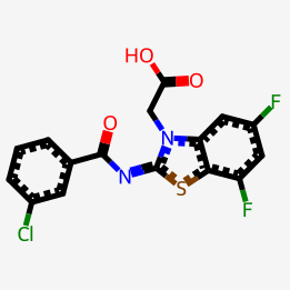 O=C(O)Cn1c(=NC(=O)c2cccc(Cl)c2)sc2c(F)cc(F)cc21